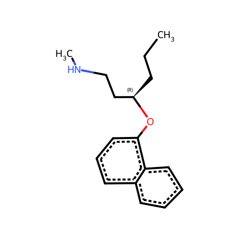 CCC[C@H](CCNC)Oc1cccc2ccccc12